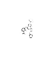 CC(C)(C)OC(=O)N1CCC(C(Cc2ccc3occ(Br)c3c2)C(=O)N2C(=O)OC[C@@H]2Cc2ccccc2)C1